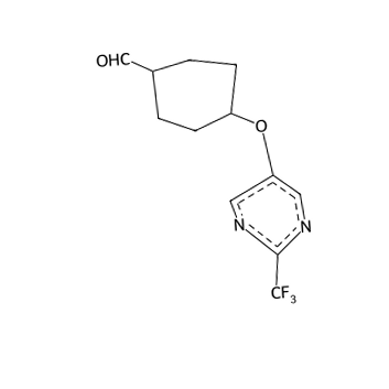 O=CC1CCC(Oc2cnc(C(F)(F)F)nc2)CC1